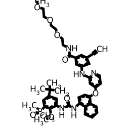 C#Cc1cc(Nc2cc(Oc3ccc(NC(=O)Nc4cc(C(C)(C)C)cc(P(C)(C)=O)c4OC)c4ccccc34)ccn2)cc(C(=O)NCCOCCOCCOC)c1